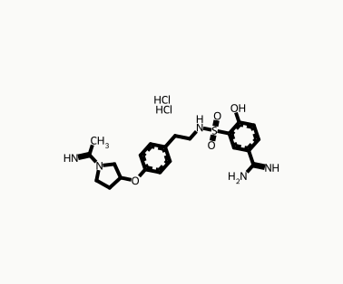 CC(=N)N1CCC(Oc2ccc(CCNS(=O)(=O)c3cc(C(=N)N)ccc3O)cc2)C1.Cl.Cl